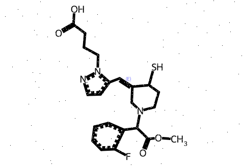 COC(=O)C(c1ccccc1F)N1CCC(S)/C(=C/c2ccnn2CCCC(=O)O)C1